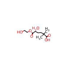 CC(C)(CCCC(=O)OCCO)C(=O)O.O